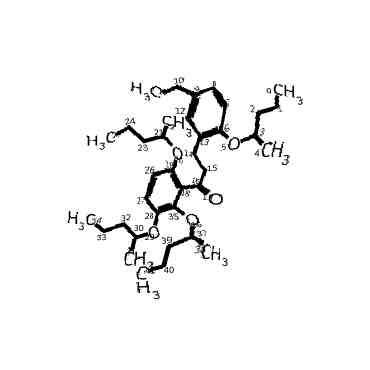 CCCC(C)Oc1ccc(CC)cc1CCC(=O)c1c(OC(C)CCC)ccc(OC(C)CCC)c1OC(C)CCC